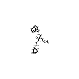 CCCN(CCCC12CC3CC(CC(C3)C1)C2)C(=O)CCCCc1ccncc1